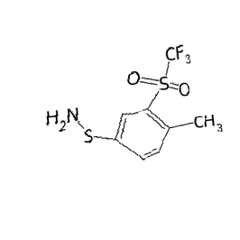 Cc1ccc(SN)cc1S(=O)(=O)C(F)(F)F